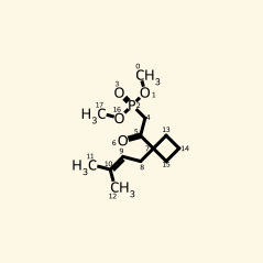 COP(=O)(CC(=O)C1(CC=C(C)C)CCC1)OC